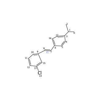 CC(C)c1ccc(/C=C/c2cccc(Cl)c2)cc1